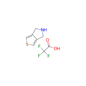 O=C(O)C(F)(F)F.c1scc2c1CNC2